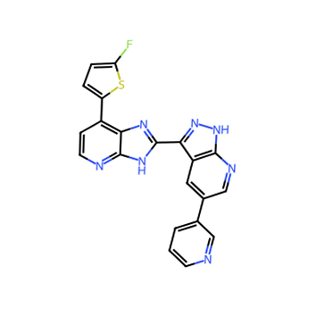 Fc1ccc(-c2ccnc3[nH]c(-c4n[nH]c5ncc(-c6cccnc6)cc45)nc23)s1